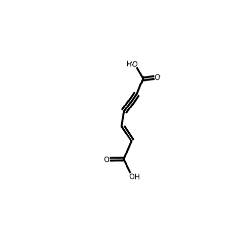 O=C(O)C#CC=CC(=O)O